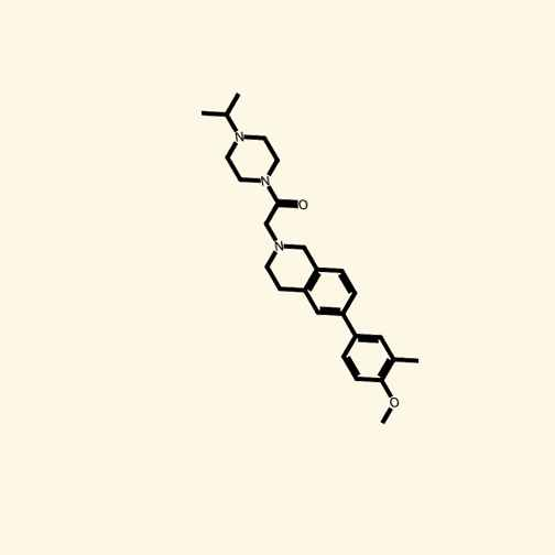 COc1ccc(-c2ccc3c(c2)CCN(CC(=O)N2CCN(C(C)C)CC2)C3)cc1C